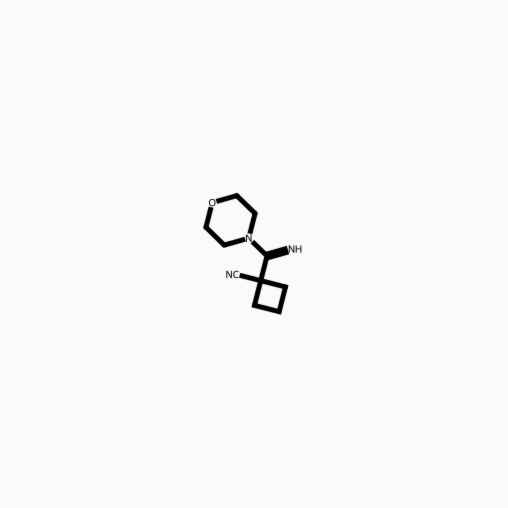 N#CC1(C(=N)N2CCOCC2)CCC1